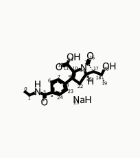 CCNC(=O)c1ccc(C2=C(C(=O)O)N3C(=O)[C@H]([C@@H](C)O)[C@H]3C2)cc1.[NaH]